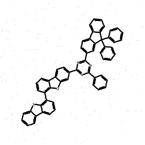 c1ccc(-c2nc(-c3ccc4c(c3)C(c3ccccc3)(c3ccccc3)c3ccccc3-4)nc(-c3ccc4c(c3)oc3c(-c5cccc6c5sc5ccccc56)cccc34)n2)cc1